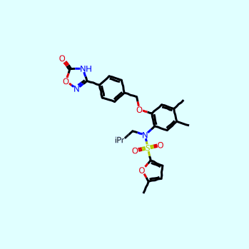 Cc1ccc(S(=O)(=O)N(CC(C)C)c2cc(C)c(C)cc2OCc2ccc(-c3noc(=O)[nH]3)cc2)o1